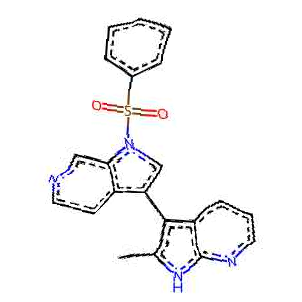 Cc1[nH]c2ncccc2c1-c1cn(S(=O)(=O)c2ccccc2)c2cnccc12